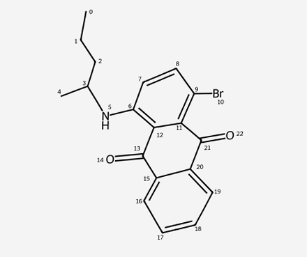 CCCC(C)Nc1ccc(Br)c2c1C(=O)c1ccccc1C2=O